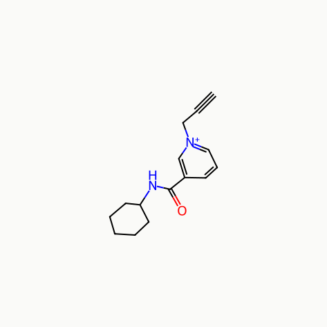 C#CC[n+]1cccc(C(=O)NC2CCCCC2)c1